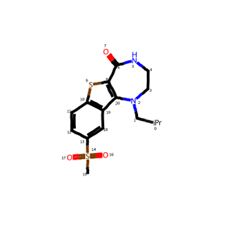 CC(C)CN1CCNC(=O)c2sc3ccc(S(C)(=O)=O)cc3c21